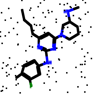 CCCCc1cc(N2CCCC(NC)C2)nc(Nc2ccc(C)c(F)c2)n1